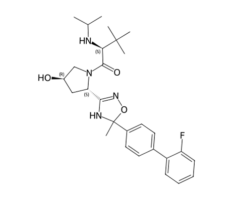 CC(C)N[C@H](C(=O)N1C[C@H](O)C[C@H]1C1=NOC(C)(c2ccc(-c3ccccc3F)cc2)N1)C(C)(C)C